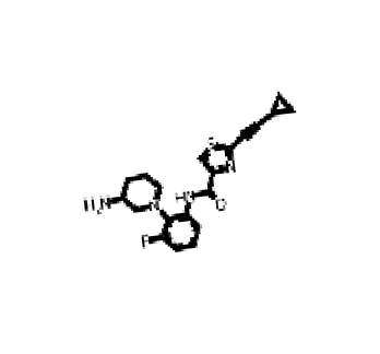 NC1CCCN(c2c(F)cccc2NC(=O)c2csc(C#CC3CC3)n2)C1